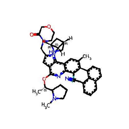 Cc1cc2c(nc(O[C@@H](C)C3CCCN3C)c3cc(CN4CCOCC4=O)n([C@H]4[C@H]5CN[C@@H]4C5)c32)c(F)c1-c1cccc2cccc(C#N)c12